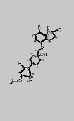 CCOc1cc(F)c(N2CCC(O)(COc3ccc(Cl)c4c3CCC(=O)N4)CC2)cc1F